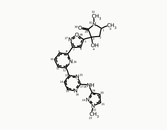 CC1CC(O)(c2cc(-c3cccc(-c4ccnc(Nc5ccn(C)n5)n4)n3)no2)C(=O)N1C